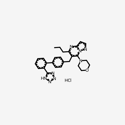 CCCc1nc2ccnn2c(N2CCOCC2)c1Cc1ccc(-c2ccccc2-c2nnn[nH]2)cc1.Cl